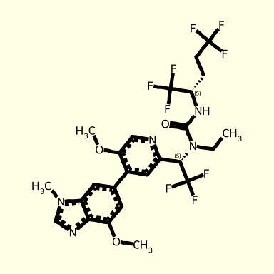 CCN(C(=O)N[C@@H](CCC(F)(F)F)C(F)(F)F)[C@@H](c1cc(-c2cc(OC)c3ncn(C)c3c2)c(OC)cn1)C(F)(F)F